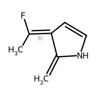 C=c1[nH]cc/c1=C(/C)F